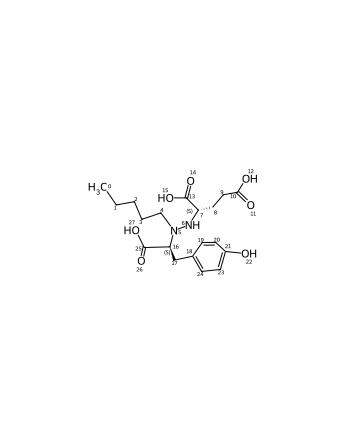 CCCCCN(N[C@@H](CCC(=O)O)C(=O)O)[C@@H](Cc1ccc(O)cc1)C(=O)O